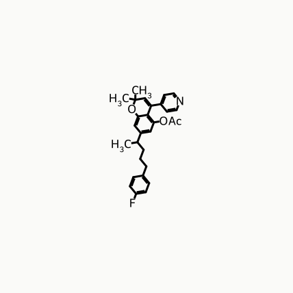 CC(=O)Oc1cc(C(C)CCCc2ccc(F)cc2)cc2c1C(c1ccncc1)=CC(C)(C)O2